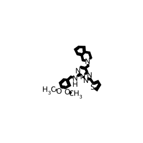 COc1ccc(CNc2ncc(CN3CCc4ccccc4C3)c3nc(-c4cccs4)nn23)cc1OC